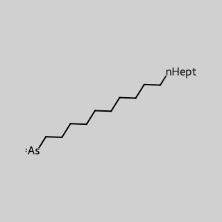 CCCCCCCCCCCCCCCCC[As]